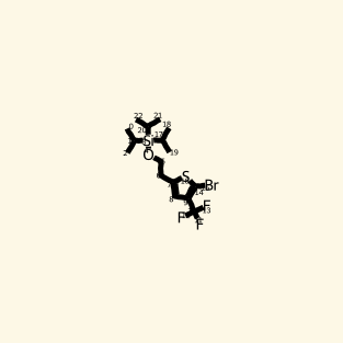 CC(C)[Si](OCCc1cc(C(F)(F)F)c(Br)s1)(C(C)C)C(C)C